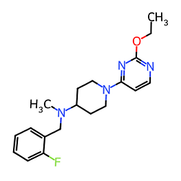 CCOc1nccc(N2CCC(N(C)Cc3ccccc3F)CC2)n1